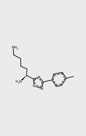 Cc1ccc(-c2noc([C@@H](N)CCCCN)n2)cc1